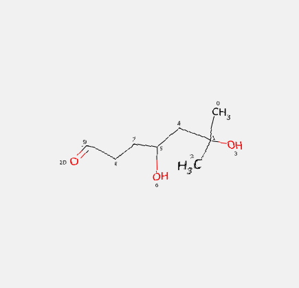 CC(C)(O)CC(O)CC[C]=O